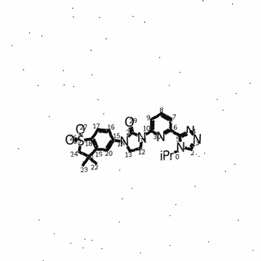 CC(C)n1cnnc1-c1cccc(N2CCN(c3ccc4c(c3)C(C)(C)CS4(=O)=O)C2=O)n1